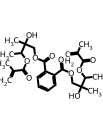 C=C(C)C(=O)OC(C)C(C)(O)COC(=O)c1ccccc1C(=O)OCC(C)(O)C(C)OC(=O)C(=C)C